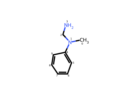 CN([CH]N)c1ccccc1